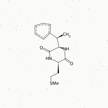 CSCC[C@H]1NC(=O)[C@@H]([C@H](C)c2ccccc2)NC1=O